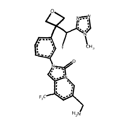 Cn1cnnc1C(F)C1(c2cccc(-n3cc4c(C(F)(F)F)cc(CN)cn4c3=O)c2)COC1